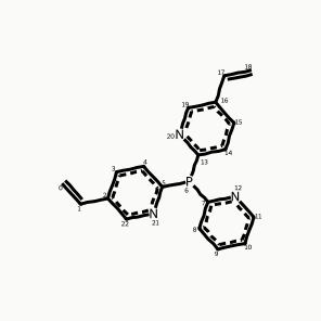 C=Cc1ccc(P(c2ccccn2)c2ccc(C=C)cn2)nc1